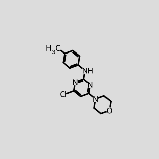 Cc1ccc(Nc2nc(Cl)cc(N3CCOCC3)n2)cc1